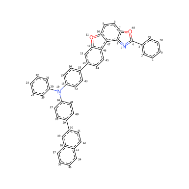 c1ccc(-c2nc3c(ccc4oc5cc(-c6ccc(N(c7ccccc7)c7ccc(-c8ccc9ccccc9c8)cc7)cc6)ccc5c43)o2)cc1